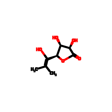 CC(C)=C(O)[C@@H]1OC(=O)[C@H](O)[C@@H]1O